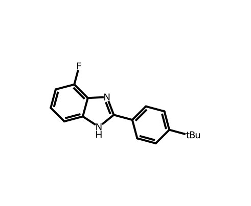 CC(C)(C)c1ccc(-c2nc3c(F)cccc3[nH]2)cc1